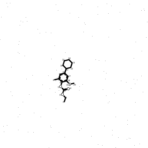 CCOC(=O)Oc1c(C)cc(C2CCCCC2)cc1SC